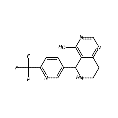 Oc1ncnc2c1C(c1ccc(C(F)(F)F)nc1)NCC2